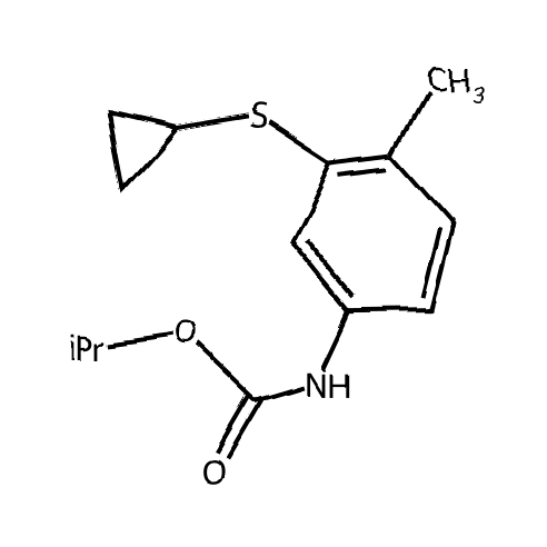 Cc1ccc(NC(=O)OC(C)C)cc1SC1CC1